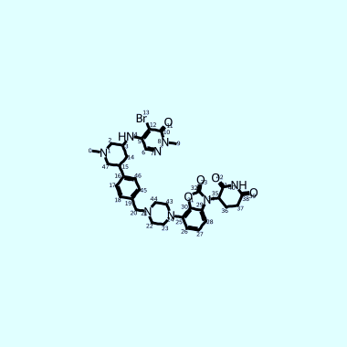 CN1CC(Nc2cnn(C)c(=O)c2Br)CC(c2ccc(CN3CCN(c4cccc5c4oc(=O)n5C4CCC(=O)NC4=O)CC3)cc2)C1